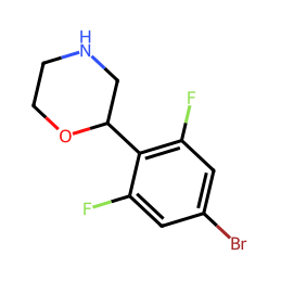 Fc1cc(Br)cc(F)c1C1CNCCO1